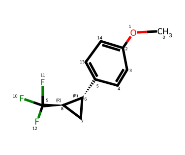 COc1ccc([C@@H]2C[C@H]2C(F)(F)F)cc1